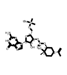 C=C(C)[C@@H]1CC[C@](C)(S)[C@@H](O[PH](=S)O[C@H]2[C@@H](O)[C@H](n3cnc4c(=O)[nH]c(N)nc43)O[C@@H]2CO[Si](C)(C)C(C)(C)C)C1